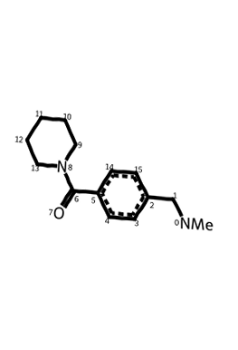 CNCc1ccc(C(=O)N2CCCCC2)cc1